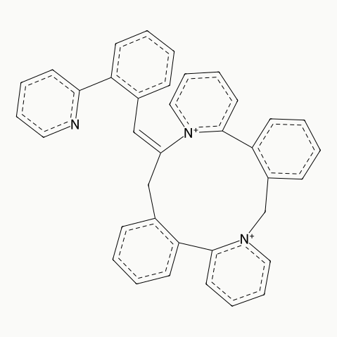 C(=C1\Cc2ccccc2-c2cccc[n+]2Cc2ccccc2-c2cccc[n+]21)/c1ccccc1-c1ccccn1